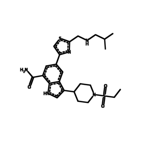 CCS(=O)(=O)N1CCC(c2c[nH]c3c(C(N)=O)cc(-c4csc(CNCC(C)C)n4)cc23)CC1